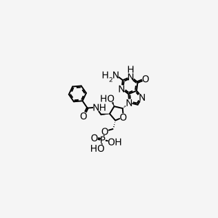 Nc1nc2c(ncn2[C@@H]2O[C@H](COP(=O)(O)O)[C@@H](CNC(=O)c3ccccc3)[C@H]2O)c(=O)[nH]1